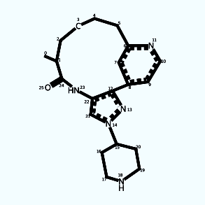 CC1CCCCc2cc(ccn2)-c2nn(C3CCNCC3)cc2NC1=O